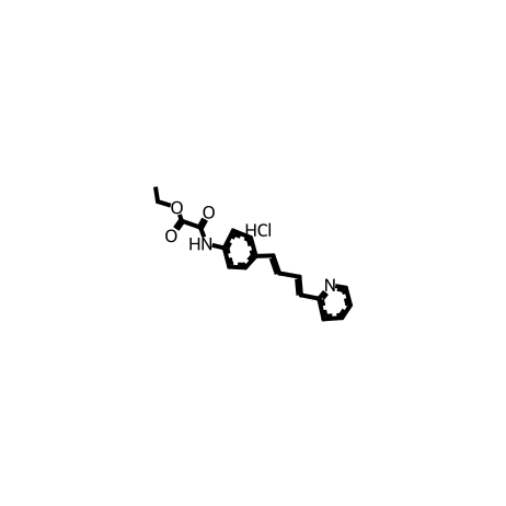 CCOC(=O)C(=O)Nc1ccc(C=CC=Cc2ccccn2)cc1.Cl